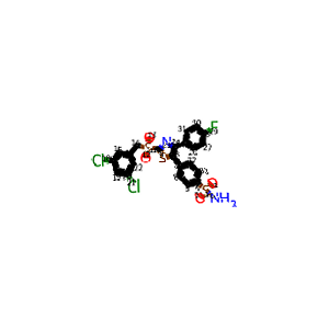 NS(=O)(=O)c1ccc(-c2sc(S(=O)(=O)Cc3cc(Cl)cc(Cl)c3)nc2-c2ccc(F)cc2)cc1